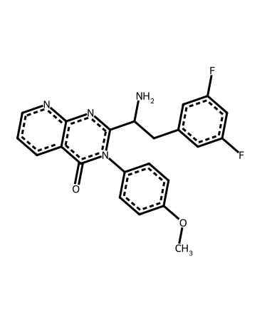 COc1ccc(-n2c(C(N)Cc3cc(F)cc(F)c3)nc3ncccc3c2=O)cc1